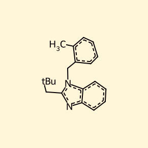 Cc1ccccc1Cn1c(CC(C)(C)C)nc2ccccc21